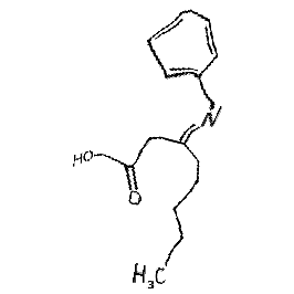 CCCCC(CC(=O)O)=Nc1ccccc1